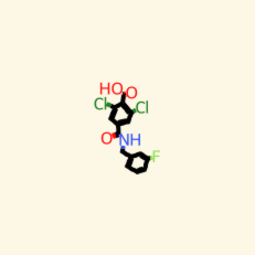 O=C(NCc1cccc(F)c1)c1cc(Cl)c(C(=O)O)c(Cl)c1